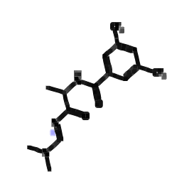 CC(NC(=O)c1cc(C(F)(F)F)cc(C(F)(F)F)c1)C(=O)/N=C/N(C)C